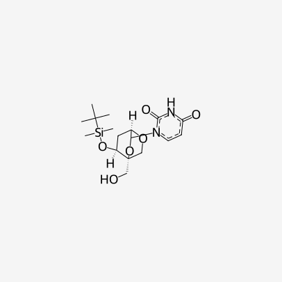 CC(C)(C)[Si](C)(C)O[C@H]1C[C@H]2OC[C@]1(CO)OC2n1ccc(=O)[nH]c1=O